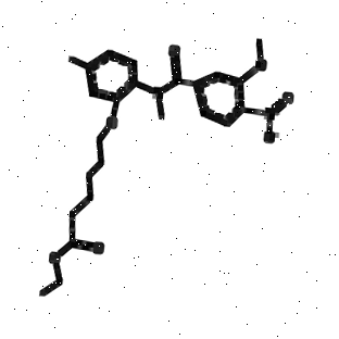 CCOC(=O)CCCCCOc1cc(C)ccc1N(C)C(=O)c1ccc([N+](=O)[O-])c(OC)c1